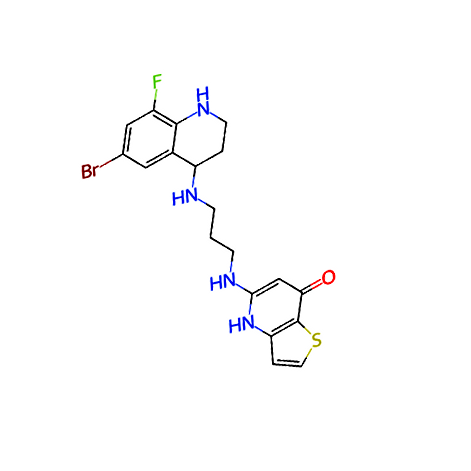 O=c1cc(NCCCNC2CCNc3c(F)cc(Br)cc32)[nH]c2ccsc12